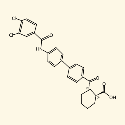 O=C(Nc1ccc(-c2ccc(C(=O)[C@H]3CCCC[C@@H]3C(=O)O)cc2)cc1)c1ccc(Cl)c(Cl)c1